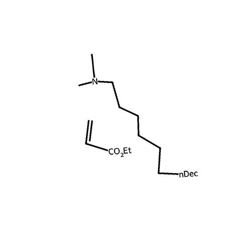 C=CC(=O)OCC.CCCCCCCCCCCCCCCCN(C)C